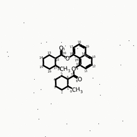 CC1CCCCC1C(=O)Oc1cccc2cccc(OC(=O)C3CCCCC3C)c12